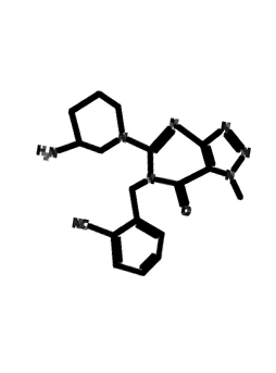 Cn1nnc2nc(N3CCCC(N)C3)n(Cc3ccccc3C#N)c(=O)c21